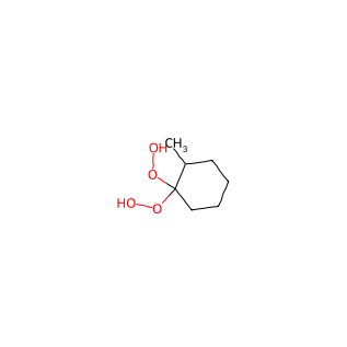 CC1CCCCC1(OO)OO